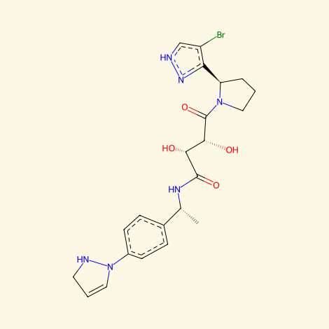 C[C@@H](NC(=O)[C@H](O)[C@@H](O)C(=O)N1CCC[C@@H]1c1n[nH]cc1Br)c1ccc(N2C=CCN2)cc1